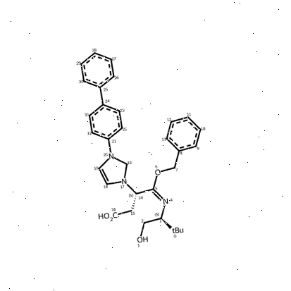 CC(C)(C)[C@@H](CO)N=C(OCc1ccccc1)[C@H](CC(=O)O)N1C=CN(c2ccc(-c3ccccc3)cc2)C1